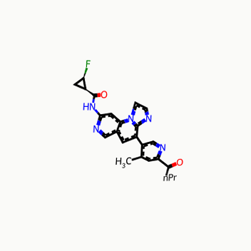 CCCC(=O)c1cc(C)c(-c2cc3cnc(NC(=O)[C@H]4C[C@H]4F)cc3n3ccnc23)cn1